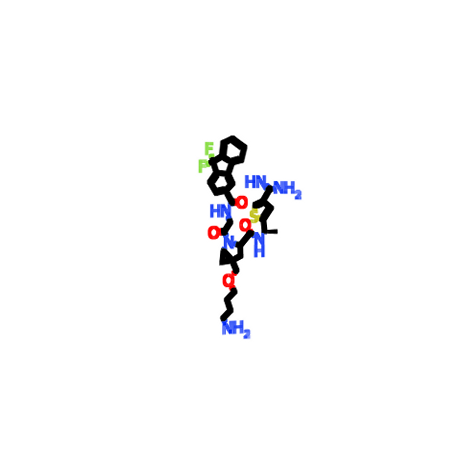 C[C@@H](NC(=O)C1CC2(COCCCCN)CC2N1C(=O)CNC(=O)c1ccc2c(c1)-c1ccccc1C2(F)F)c1cc(C(=N)N)cs1